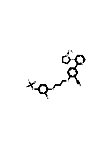 CN1CCC[C@H]1c1cccnc1-c1ccc(OCCCOc2ccc(OC(F)(F)F)cc2Cl)c(C#N)c1